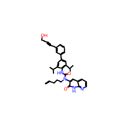 C=CCCCN(C(=O)Nc1c(C(C)C)cc(-c2cccc(C#CCO)c2)cc1C(C)C)c1cc2cccnc2[nH]c1=O